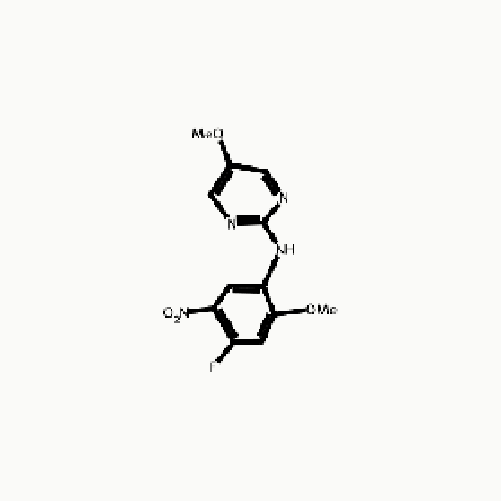 COc1cnc(Nc2cc([N+](=O)[O-])c(F)cc2OC)nc1